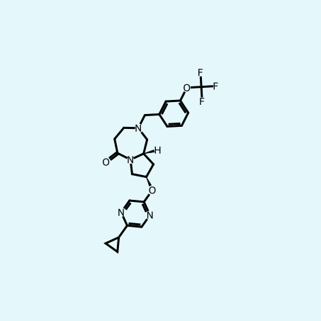 O=C1CCN(Cc2cccc(OC(F)(F)F)c2)C[C@@H]2C[C@@H](Oc3cnc(C4CC4)cn3)CN12